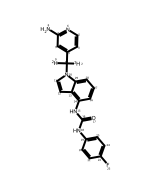 [2H]C([2H])(c1ccnc(N)c1)n1ccc2c(NC(=O)Nc3ccc(F)cc3)cccc21